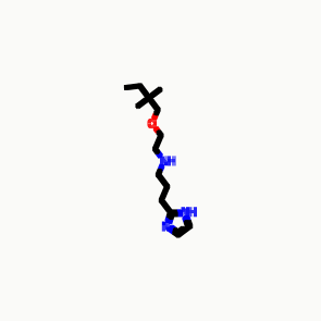 CCC(C)(C)COCCNCCCc1ncc[nH]1